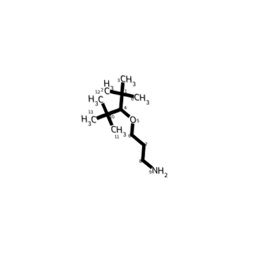 CC(C)(C)C(OCCCN)C(C)(C)C